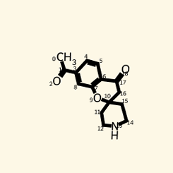 CC(=O)c1ccc2c(c1)OC1(CCNCC1)CC2=O